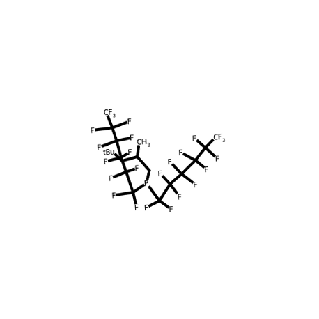 CC(CP(C(F)(F)C(F)(F)C(F)(F)C(F)(F)C(F)(F)C(F)(F)F)C(F)(F)C(F)(F)C(F)(F)C(F)(F)C(F)(F)C(F)(F)F)CC(C)(C)C